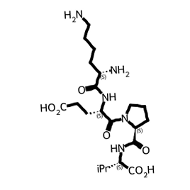 CC(C)[C@H](NC(=O)[C@@H]1CCCN1C(=O)[C@H](CCC(=O)O)NC(=O)[C@@H](N)CCCCN)C(=O)O